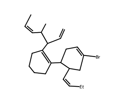 C=CC(C1=C(C2CC=C(Br)CC2/C=C\CC)CCCC1)C(C)/C=C\C